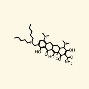 CCCCCN(CCCCC)Cc1cc(N(C)C)c2c(c1O)C(=O)C1=C(O)C3(O)C(=O)C(C(N)=O)=C(O)C(N(C)C)C3CC1C2